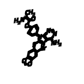 C[C@H](N)C(=O)Oc1ccc(-n2c(Sc3cc4c(cc3Br)OCO4)nc3c(N)ncnc32)cc1